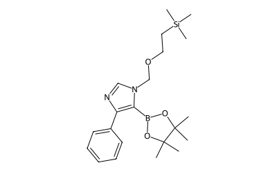 CC1(C)OB(c2c(-c3ccccc3)ncn2COCC[Si](C)(C)C)OC1(C)C